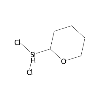 Cl[SiH](Cl)C1CCCCO1